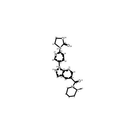 C[C@H]1CCCCN1C(=O)c1cnc2c(cnn2-c2ccc(N3CCOC3=O)nc2)c1